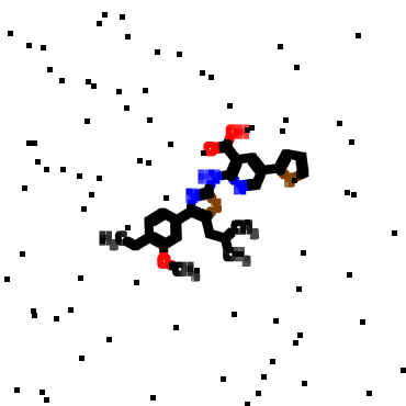 CCc1ccc(-c2nc(Nc3ncc(-c4cccs4)cc3C(=O)O)sc2CC(C)C)cc1OC